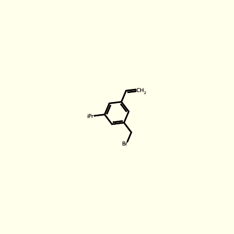 C=Cc1cc(CBr)cc(C(C)C)c1